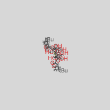 CC(C)(C)c1ccc2oc(=O)c(COC3[C@@H](O)C(CO)O[C@@H](S[C@@H]4OC(CO)[C@H](O)[C@H](OCc5cc6cc(C(C)(C)C)ccc6oc5=O)C4O)[C@@H]3O)cc2c1